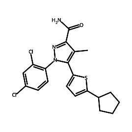 Cc1c(C(N)=O)nn(-c2ccc(Cl)cc2Cl)c1-c1ccc(C2CCCC2)s1